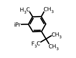 Cc1cc(C(C)(C)C(F)(F)F)cc(C(C)C)c1C